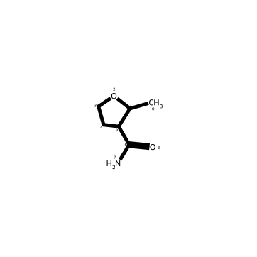 CC1OCCC1C(N)=O